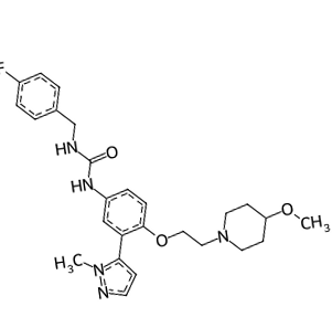 COC1CCN(CCOc2ccc(NC(=O)NCc3ccc(F)cc3)cc2-c2ccnn2C)CC1